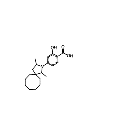 CC1CC2(CCCCCCC2)C(C)N1c1ccc(C(=O)O)c(O)c1